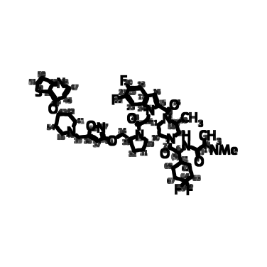 CN[C@@H](C)C(=O)N[C@H](C(=O)N1CCN(C(=O)c2cc3cc(F)c(F)cc3n2CC(=O)N2CCC[C@H]2COc2cc(CN3CCC(Oc4ccnc5ccsc45)CC3)on2)[C@@H](C)C1)C1CCC(F)(F)CC1